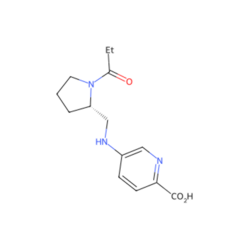 CCC(=O)N1CCC[C@H]1CNc1ccc(C(=O)O)nc1